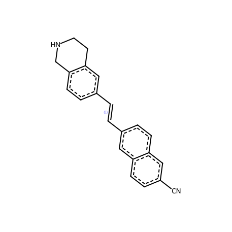 N#Cc1ccc2cc(/C=C/c3ccc4c(c3)CCNC4)ccc2c1